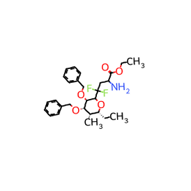 CCOC(=O)C(N)CC(F)(F)C1O[C@H](CC)[C@H](C)[C@H](OCc2ccccc2)[C@H]1OCc1ccccc1